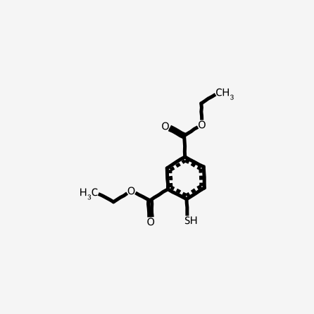 CCOC(=O)c1ccc(S)c(C(=O)OCC)c1